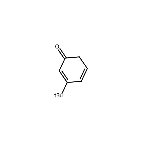 CC(C)(C)C1=CC(=O)CC=C1